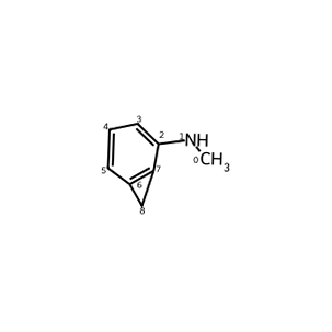 CNc1cccc2c1C2